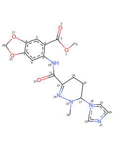 COC(=O)c1cc2c(cc1NC(=O)C1=NN(C)C(n3ccnc3)CC1)OCO2